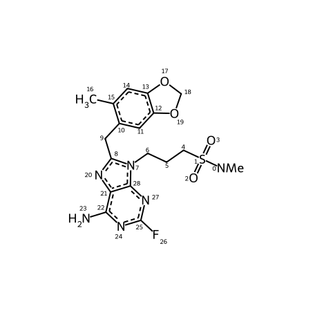 CNS(=O)(=O)CCCn1c(Cc2cc3c(cc2C)OCO3)nc2c(N)nc(F)nc21